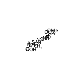 COC(=O)C(c1cc(N2CCN(c3ncc(-c4sc5nnc(-c6ccccc6O)cc5c4C)cn3)CC2)no1)C(C)C